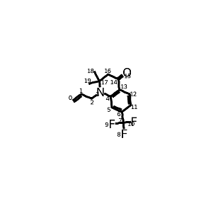 C=CCN1c2cc(C(F)(F)F)ccc2C(=O)CC1(C)C